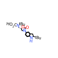 CC(C)(C)C1Cc2cc(N3C[C@H](CN(C(=O)O)C(C)(C)C)OC3=O)ccc2N1